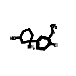 NC1(c2ccc(Cl)c(OC(F)(F)F)c2)CCCC(O)C1